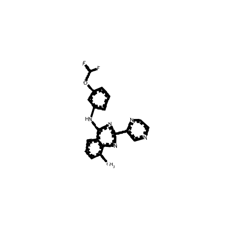 Cc1cccc2c(Nc3cccc(OC(F)F)c3)nc(-c3cnccn3)nc12